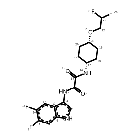 O=C(Nc1c[nH]c2cc(F)c(F)cc12)C(=O)N[C@H]1CC[C@@H](OCC(F)F)CC1